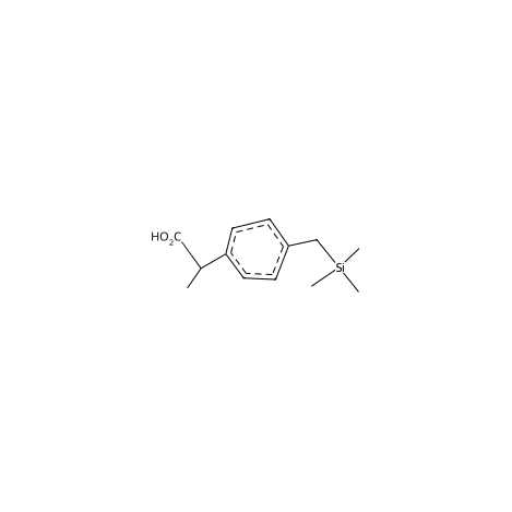 CC(C(=O)O)c1ccc(C[Si](C)(C)C)cc1